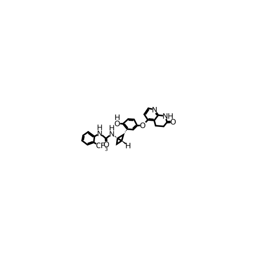 O=C1CCc2c(Oc3ccc(O)c([C@@H]4[C@@H]5C[C@@]45NC(=O)Nc4ccccc4C(F)(F)F)c3)ccnc2N1